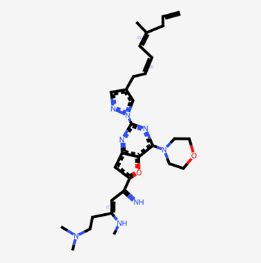 C=CC/C(C)=C\C=C/Cc1cnn(-c2nc(N3CCOCC3)c3oc(C(=N)/C=C(/CCN(C)C)NC)cc3n2)c1